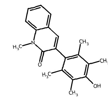 Cc1c(C)c(-c2cc3ccccc3n(C)c2=O)c(C)c(C)c1O